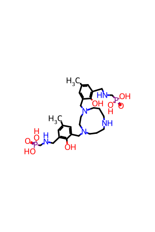 Cc1cc(CNCP(=O)(O)O)c(O)c(CN2CCCNCCCN(Cc3cc(C)cc(CNCP(=O)(O)O)c3O)CC2)c1